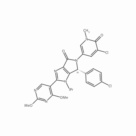 COc1ncc(-c2nc3c(n2C(C)C)[C@@H](c2ccc(Cl)cc2)N(c2cc(Cl)c(=O)n(C)c2)C3=O)c(OC)n1